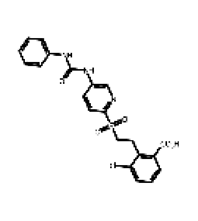 O=C(Nc1ccccc1)Nc1ccc(S(=O)(=O)CCc2c(Cl)cccc2C(=O)O)nc1